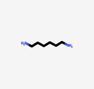 N[CH]CCCCCN